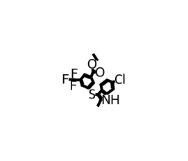 CCOC(=O)c1cc(Sc2c(C)[nH]c3cc(Cl)ccc23)cc(C(F)(F)F)c1